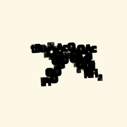 CC(=O)O[C@H]1[C@@H](OC(C)=O)[C@](C#N)(c2ccc3c(N)ncnn23)O[C@@H]1COP(=O)(OCOC(=O)OC(C)C)Oc1ccc(C(C)(C)C)cc1